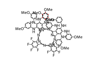 COc1cccc(Nc2c(Nc3cccc(OC)c3)c(Nc3cccc(OC)c3)c3c(c2Nc2cccc(OC)c2)-c2nc-3nc3[nH]c(nc4nc(nc5[nH]c(n2)c2c(F)c(F)c(F)c(F)c52)-c2c(F)c(F)c(F)c(F)c2-4)c2c(Nc4cccc(OC)c4)c(Nc4cccc(OC)c4)c(Nc4cccc(OC)c4)c(Nc4cccc(OC)c4)c32)c1